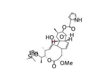 CO[C@H]1CC2C=C[C@H]3[C@H]4O[C@]2(/C(C)=C/[C@@H](C)[C@@H]([C@@H](C)O[Si](C)(C)C(C)(C)C)OC1=O)[C@@H]3[C@H](O)[C@@H](C)[C@H]4OC(=O)c1ccc[nH]1